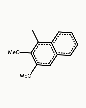 COc1cc2ccccc2c(C)c1OC